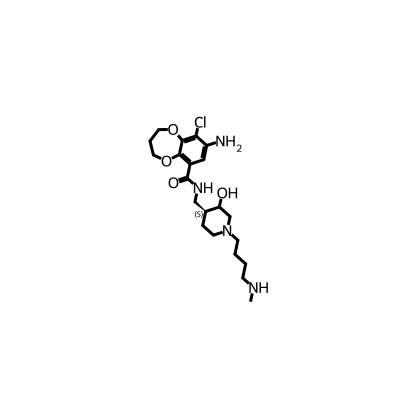 CNCCCCN1CC[C@@H](CNC(=O)c2cc(N)c(Cl)c3c2OCCCO3)C(O)C1